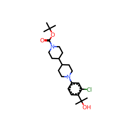 CC(C)(C)OC(=O)N1CCC(C2CCN(c3ccc(C(C)(C)O)c(Cl)c3)CC2)CC1